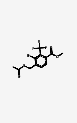 COC(=O)c1ccc(COC(C)=O)c(Br)c1C(F)(F)F